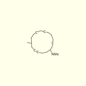 CNC1CCCCCCCCCCC(C)CCCCC1